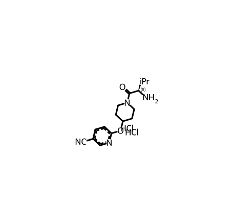 CC(C)[C@@H](N)C(=O)N1CCC(Oc2ccc(C#N)cn2)CC1.Cl.Cl